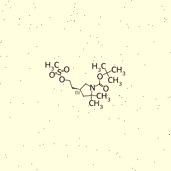 CC(C)(C)OC(=O)N1C[C@H](CCOS(C)(=O)=O)CC1(C)C